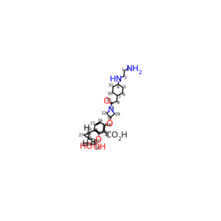 NCCNC1CCC(CC(=O)N2CC(Oc3ccc4c(c3C(=O)O)O[B-](O)(O)[C@@H]3C[C@H]43)C2)CC1